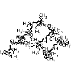 CCO[Si](CCCN(C)CCC[Si](OCC)(OCC)OCC)(OCC)OCC.CCO[Si](CCCNCCC[Si](OCC)(OCC)OCC)(OCC)OCC.CO[Si](CCCN(C)CCC[Si](OC)(OC)OC)(OC)OC.CO[Si](CCCNCCC[Si](OC)(OC)OC)(OC)OC